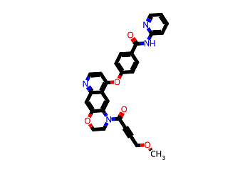 COCC#CC(=O)N1CCOc2cc3nccc(Oc4ccc(C(=O)Nc5ccccn5)cc4)c3cc21